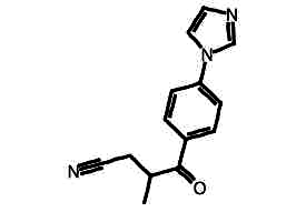 CC(CC#N)C(=O)c1ccc(-n2ccnc2)cc1